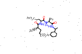 CC(=O)NC(CCC(=O)O)C(=O)NC(CCC(=O)O)C(=O)NC(C(=O)NC(C)C1CCCCC1)C(C)C